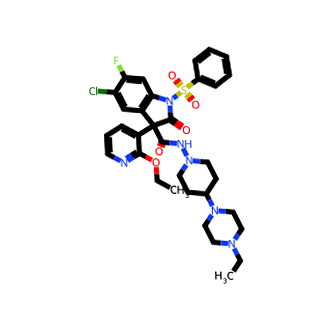 CCOc1ncccc1C1(C(=O)NN2CCC(N3CCN(CC)CC3)CC2)C(=O)N(S(=O)(=O)c2ccccc2)c2cc(F)c(Cl)cc21